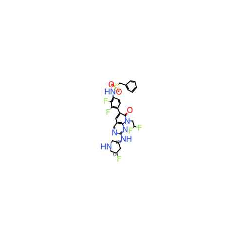 O=c1c(-c2ccc(NS(=O)(=O)Cc3ccccc3)c(F)c2F)cc2cnc(N[C@@H]3CNC[C@@H](F)C3)nc2n1CC(F)F